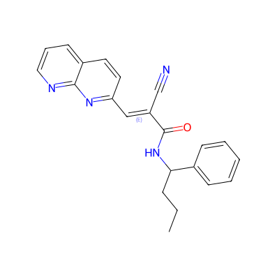 CCCC(NC(=O)/C(C#N)=C/c1ccc2cccnc2n1)c1ccccc1